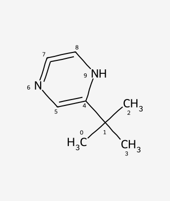 CC(C)(C)C1=CN=C=CN1